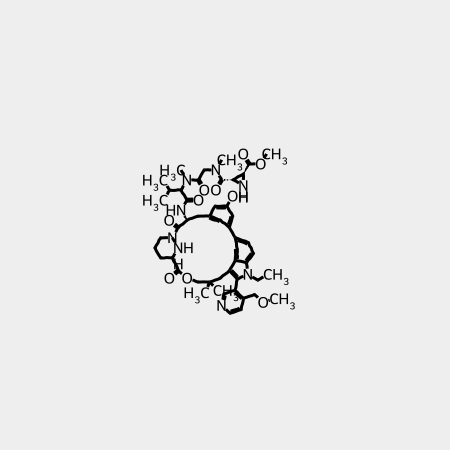 CCn1c(-c2cnccc2COC)c2c3cc(ccc31)-c1cc(O)cc(c1)C[C@H](NC(=O)C(C(C)C)N(C)C(=O)CN(C)C(=O)[C@H]1N[C@@H]1C(=O)OC)C(=O)N1CCC[C@H](N1)C(=O)OCC(C)(C)C2